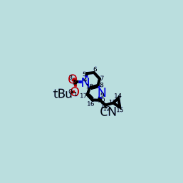 CC(C)(C)OC(=O)N1CCCc2nc(C(C#N)C3CC3)ccc21